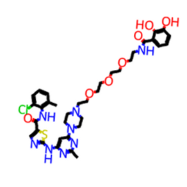 Cc1nc(Nc2ncc(C(=O)Nc3c(C)cccc3Cl)s2)cc(N2CCN(CCOCCOCCOCCNC(=O)c3cccc(O)c3O)CC2)n1